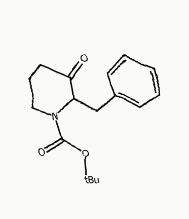 CC(C)(C)OC(=O)N1CCCC(=O)C1Cc1ccccc1